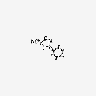 N#CC1CC(c2ccccc2)=NO1